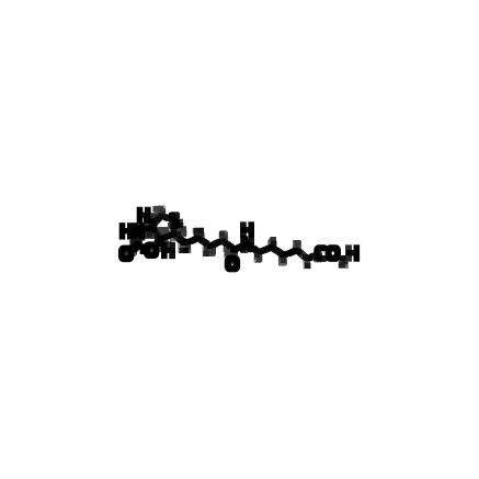 O=C(O)CCCCCNC(=O)CCCC[C@@H]1SC[C@@H]2NC(=O)O[C@@H]21